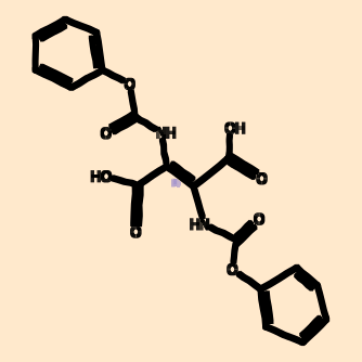 O=C(N/C(C(=O)O)=C(/NC(=O)Oc1ccccc1)C(=O)O)Oc1ccccc1